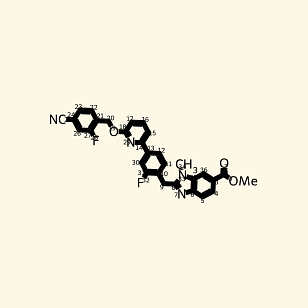 COC(=O)c1ccc2nc(Cc3ccc(-c4cccc(OCc5ccc(C#N)cc5F)n4)cc3F)n(C)c2c1